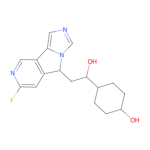 OC1CCC(C(O)CC2c3cc(F)ncc3-c3cncn32)CC1